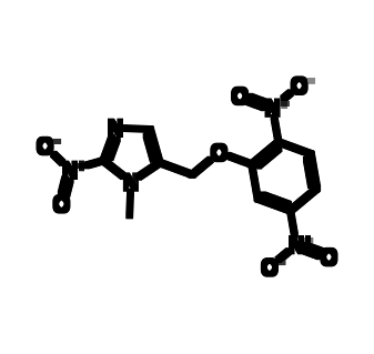 Cn1c(COc2cc([N+](=O)[O-])ccc2[N+](=O)[O-])cnc1[N+](=O)[O-]